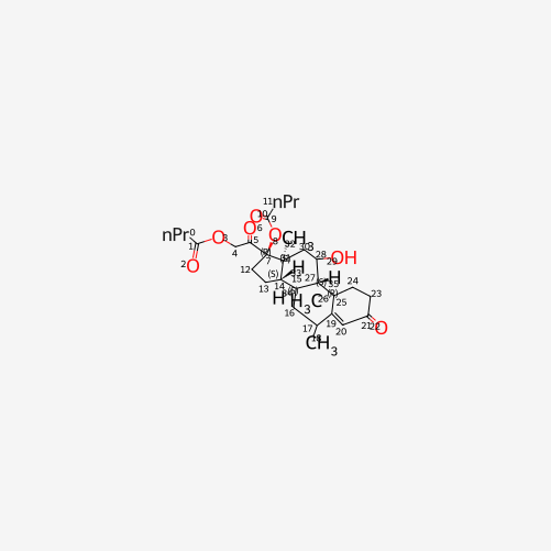 CCCC(=O)OCC(=O)[C@@]1(OC(=O)CCC)CC[C@H]2[C@@H]3CC(C)C4=CC(=O)CC[C@]4(C)[C@H]3C(O)C[C@@]21C